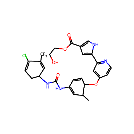 CC1C=C(NC(=O)NC2C=C(C(F)(F)F)C(Cl)=CC2)C=CC1Oc1ccnc(-c2cc(C(=O)OCCO)c[nH]2)c1